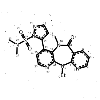 CCN1c2ncccc2C(=O)N(C)c2c(-c3ccnn3S(=O)(=O)N(C)C)ccnc21